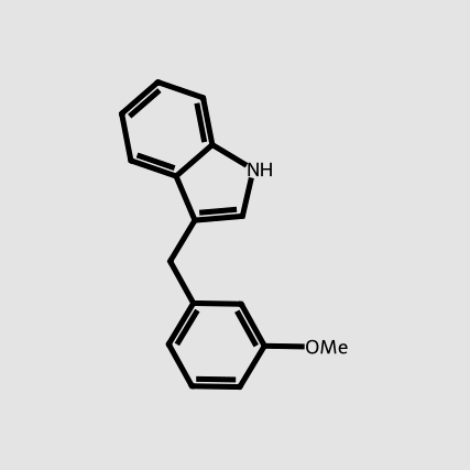 COc1cccc(Cc2c[nH]c3ccccc23)c1